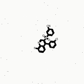 N#Cc1cccc(S(=O)(=O)c2cnc3c(F)cccc3c2-c2cccc(Cl)c2)c1